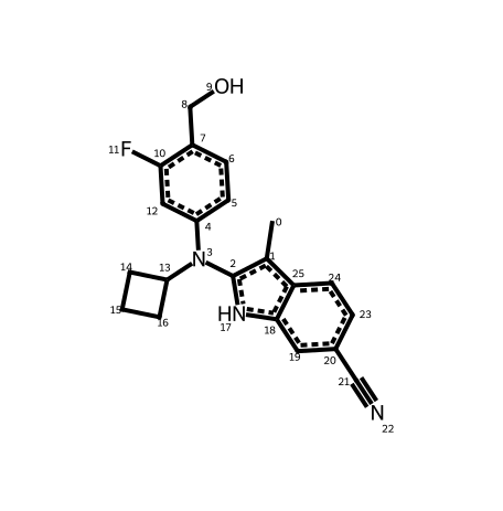 Cc1c(N(c2ccc(CO)c(F)c2)C2CCC2)[nH]c2cc(C#N)ccc12